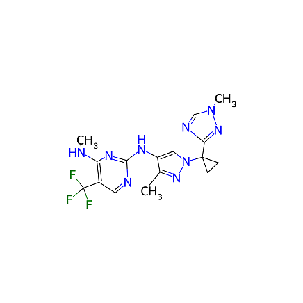 CNc1nc(Nc2cn(C3(c4ncn(C)n4)CC3)nc2C)ncc1C(F)(F)F